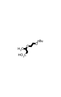 CCCCOCCOC(C)CC(=O)O